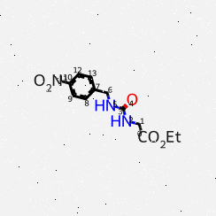 CCOC(=O)CNC(=O)NCc1ccc([N+](=O)[O-])cc1